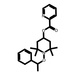 CC(ON1C(C)(C)CC(OC(=O)c2ccccn2)CC1(C)C)C1C=CC=CC1